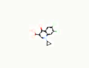 O=C(O)c1cn(C2CC2)c2cc(Cl)c(Cl)cc2c1=O